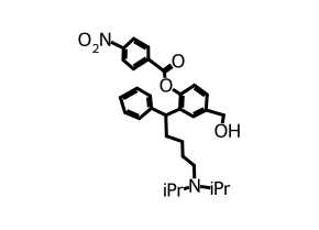 CC(C)N(CCCCC(c1ccccc1)c1cc(CO)ccc1OC(=O)c1ccc([N+](=O)[O-])cc1)C(C)C